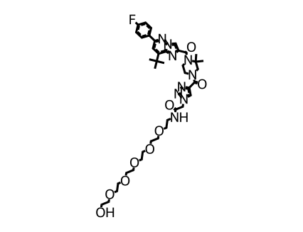 CC(C)(C)c1cc(-c2ccc(F)cc2)nn2cc(C(=O)N3CCN(C(=O)c4cn(CC(=O)NCCOCCOCCOCCOCCOCCO)nn4)CC3(C)C)nc12